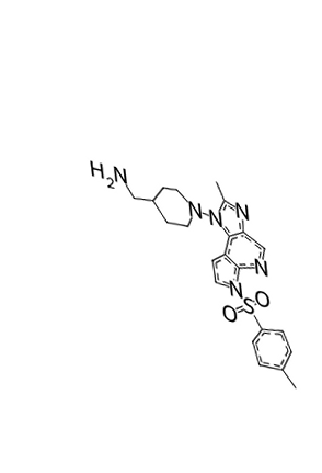 Cc1ccc(S(=O)(=O)n2ccc3c2ncc2nc(C)n(N4CCC(CN)CC4)c23)cc1